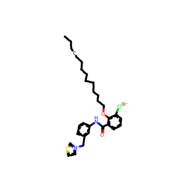 CCCCCCCCCCCCCCOc1c(Cl)cccc1C(=O)Nc1cccc(C[n+]2ccsc2)c1.[Br-]